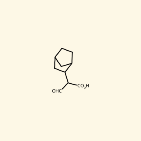 O=CC(C(=O)O)C1CC2CCC1C2